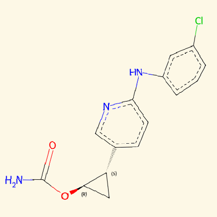 NC(=O)O[C@@H]1C[C@H]1c1ccc(Nc2cccc(Cl)c2)nc1